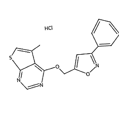 Cc1csc2ncnc(OCc3cc(-c4ccccc4)no3)c12.Cl